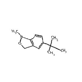 CB1OCc2cc(C(C)(C)C)ccc21